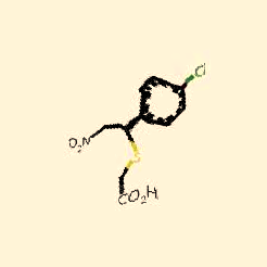 O=C(O)CSC(C[N+](=O)[O-])c1ccc(Cl)cc1